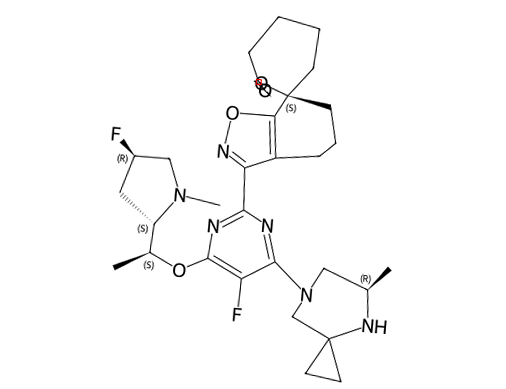 C[C@@H]1CN(c2nc(-c3noc4c3CCC[C@@]43CCCCC34OCCO4)nc(O[C@@H](C)[C@@H]3C[C@@H](F)CN3C)c2F)CC2(CC2)N1